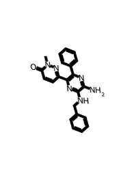 Cn1nc(-c2nc(NCc3ccccc3)c(N)nc2-c2ccccc2)ccc1=O